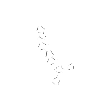 c1ccc(-c2nc(-c3ccccc3)nc(-c3ccc4cc(-c5ccc6sc7c(nc8ccccn87)c6c5)ccc4c3)n2)cc1